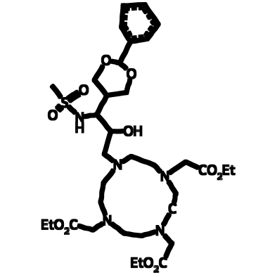 CCOC(=O)CN1CCN(CC(=O)OCC)CCN(CC(O)C(NS(C)(=O)=O)C2COC(c3ccccc3)OC2)CCN(CC(=O)OCC)CC1